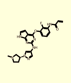 C=CC(=O)Nc1cccc(Oc2nc(Nc3cnn([C@H]4CCN(C)C4)c3)nc3[nH]ccc23)c1F